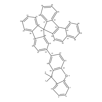 CC1(C)c2ccccc2Oc2ccc(-c3ccc4c(c3)C3(c5ccccc5-4)c4ccccc4-c4c3ccc3ccccc43)cc21